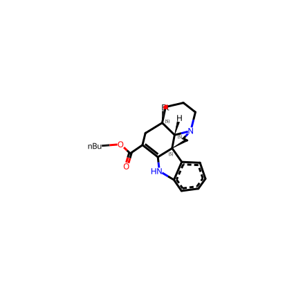 CCCCOC(=O)C1=C2Nc3ccccc3[C@]23CCN2CCC[C@@](CC)(C1)[C@H]23